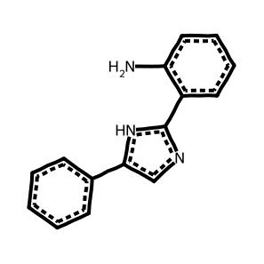 Nc1ccccc1-c1ncc(-c2ccccc2)[nH]1